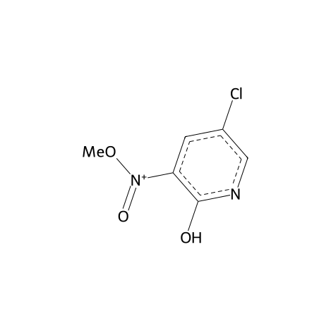 CO[N+](=O)c1cc(Cl)cnc1O